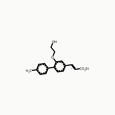 CCOC(=O)/C=C/c1ccc(-c2ccc(C)cc2)c(OCCO)c1